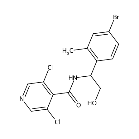 Cc1cc(Br)ccc1C(CO)NC(=O)c1c(Cl)cncc1Cl